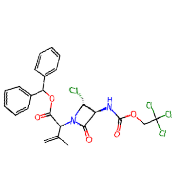 C=C(C)C(C(=O)OC(c1ccccc1)c1ccccc1)N1C(=O)[C@H](NC(=O)OCC(Cl)(Cl)Cl)[C@H]1Cl